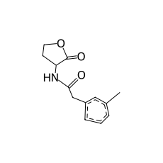 Cc1cccc(CC(=O)NC2CCOC2=O)c1